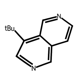 CC(C)(C)c1cncc2ccncc12